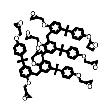 CC(C)(c1ccc(OCC2CO2)cc1)c1ccc(OCC2CO2)c(Cc2cc(C(C)(C)c3ccc(OCC4CO4)cc3)cc(Cc3cc(C(C)(C)c4ccc(OCC5CO5)cc4)cc(Cc4cc(C(C)(C)c5ccc(OC6CCO6)cc5)ccc4OCC4CO4)c3OCC3CO3)c2OCC2CO2)c1